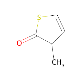 CC1C=CSC1=O